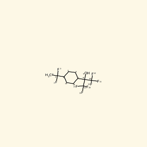 CC(F)(F)C1CCC(C(O)(C(F)(F)F)C(F)(F)F)CC1